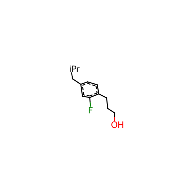 CC(C)Cc1ccc(CCCO)c(F)c1